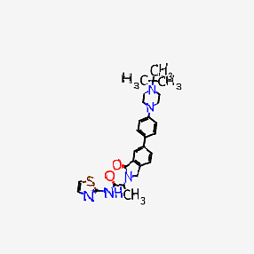 CC(C(=O)Nc1nccs1)N1Cc2ccc(-c3ccc(N4CCN(C(C)(C)C)CC4)cc3)cc2C1=O